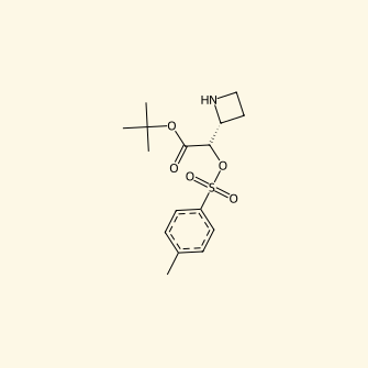 Cc1ccc(S(=O)(=O)OC(C(=O)OC(C)(C)C)[C@H]2CCN2)cc1